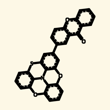 O=c1c2ccccc2oc2ccc(-c3cc4c5c(c3)Sc3cccc6c3N5c3c(cccc3O4)O6)cc12